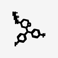 [N-]=[N+]=NC1CCOC(C(c2ccc(F)cc2)c2ccc(F)cc2)C1